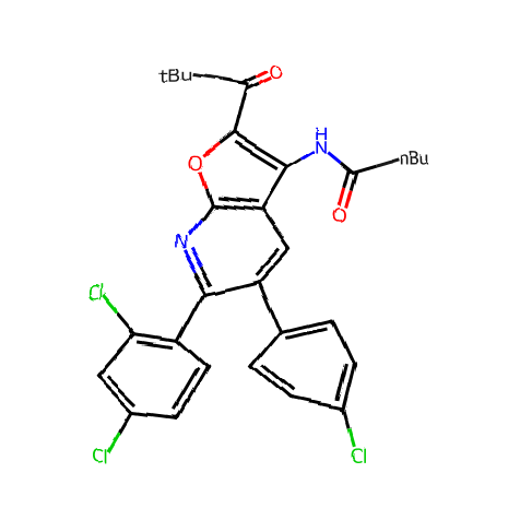 CCCCC(=O)Nc1c(C(=O)C(C)(C)C)oc2nc(-c3ccc(Cl)cc3Cl)c(-c3ccc(Cl)cc3)cc12